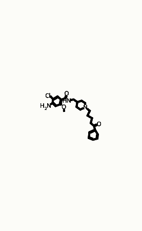 COc1cc(N)c(Cl)cc1C(=O)NCC1CCN(CCCCC(=O)c2ccccc2)CC1